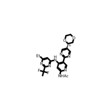 CCc1cc(Nc2cc(NC(C)=O)ncc2-c2ncc([C@@H]3COCCO3)cn2)nc(C(C)(F)F)n1